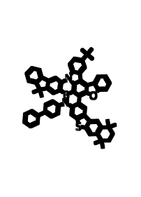 CC(C)(C)c1ccc2c(c1)c1c3c(oc4ccccc43)c3c4c1n2-c1cc2c(cc1B4N(c1ccc(-c4ccccc4)cc1)c1cc4sc5cc6c(cc5c4cc1-3)C(C)(C)CCC6(C)C)C(C)(C)c1ccccc1-2